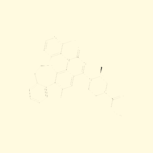 Cc1ccnc(C(C)C)c1-n1c(=O)nc(N2CCN(C(=O)OC(C)(C)C)C[C@@H]2C)c2cc(F)c3c(c21)OCCc1ccccc1-3